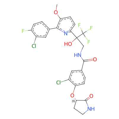 COc1ccc(C(O)(CNC(=O)c2ccc(O[C@H]3CCNC3=O)c(Cl)c2)C(F)(F)F)nc1-c1ccc(F)c(Cl)c1